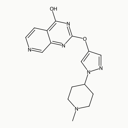 CN1CCC(n2cc(Oc3nc(O)c4ccncc4n3)cn2)CC1